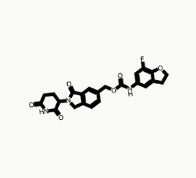 O=C1CCC(N2Cc3ccc(COC(=O)Nc4cc(F)c5c(c4)CCO5)cc3C2=O)C(=O)N1